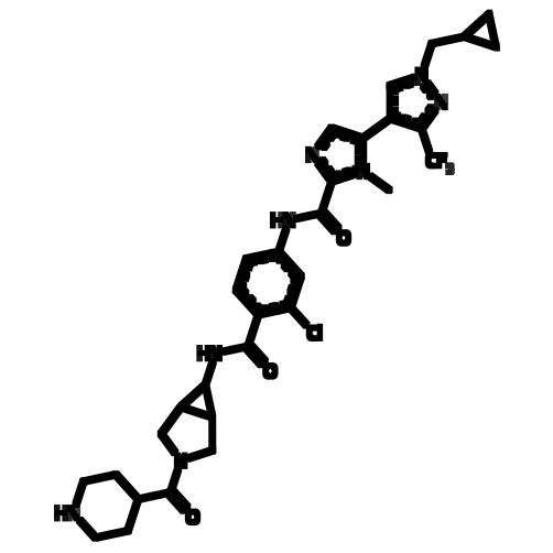 Cn1c(-c2cn(CC3CC3)nc2C(F)(F)F)cnc1C(=O)Nc1ccc(C(=O)NC2C3CN(C(=O)C4CCNCC4)CC32)c(Cl)c1